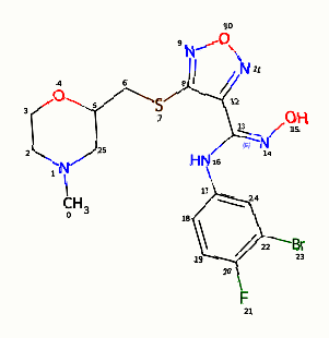 CN1CCOC(CSc2nonc2/C(=N\O)Nc2ccc(F)c(Br)c2)C1